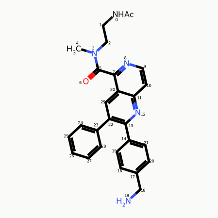 CC(=O)NCCN(C)C(=O)c1nccc2nc(-c3ccc(CN)cc3)c(-c3ccccc3)cc12